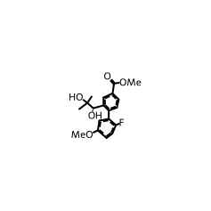 COC(=O)c1ccc(-c2cc(OC)ccc2F)c([C@H](O)C(C)(C)O)c1